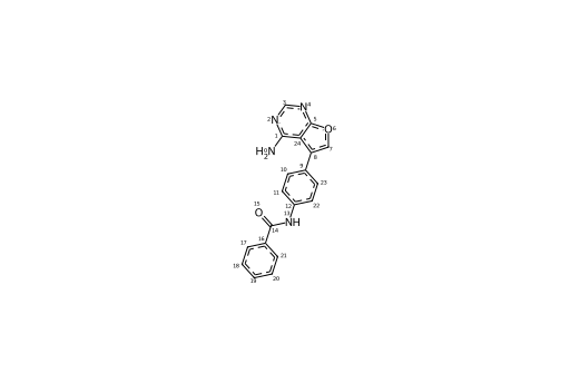 Nc1ncnc2occ(-c3ccc(NC(=O)c4ccccc4)cc3)c12